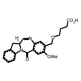 COc1cc2c(cc1COCCCC(=O)O)N=C[C@@H]1Cc3ccccc3N1C2=O